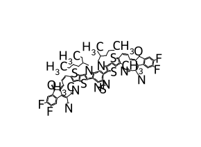 CCCCC(CC)Cn1c2c3sc(/C=C\C=C4/C(=O)c5cc(F)c(F)cc5C4=C(C#N)C#N)c(C)c3sc2c2c3nsnc3c3c4sc5c(C)c(/C=C\C=C6/C(=O)c7cc(F)c(F)cc7C6=C(C#N)C#N)sc5c4n(CC(CC)CCCC)c3c21